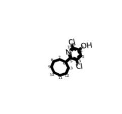 Oc1cc(Cl)c(C2CCCCCCC2)nc1Cl